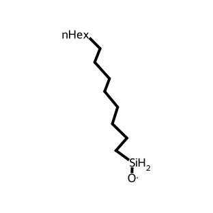 CCCCCCCCCCCCCC[SiH2][O]